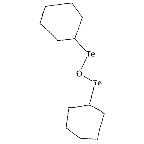 C1CCC([Te]O[Te]C2CCCCC2)CC1